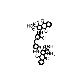 Cc1cc(Cc2ccc(Nc3cc(S(=O)(=O)O)c(N)c4c3C(=O)c3ccccc3C4=O)c(C)c2)ccc1Nc1cc(S(=O)(=O)O)c(N)c2c1C(=O)c1ccccc1C2=O